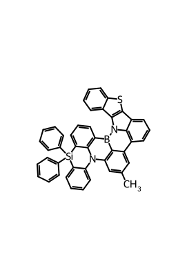 Cc1cc2c3c(c1)N1c4ccccc4[Si](c4ccccc4)(c4ccccc4)c4cccc(c41)B3n1c3c-2cccc3c2sc3ccccc3c21